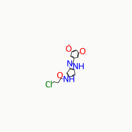 COc1cc(OC)cc(-c2nc3cc(NC(=O)CCCl)ccc3[nH]2)c1